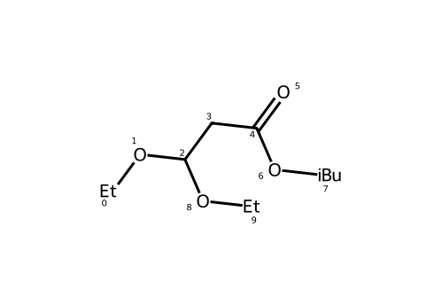 CCOC(CC(=O)OC(C)CC)OCC